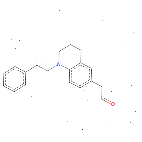 O=CCc1ccc2c(c1)CCCN2CCc1ccccc1